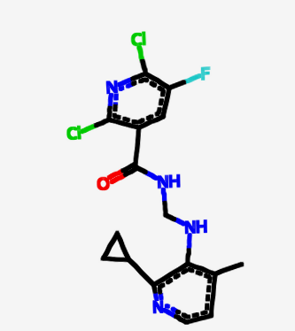 Cc1ccnc(C2CC2)c1NCNC(=O)c1cc(F)c(Cl)nc1Cl